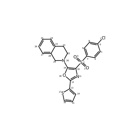 O=S(=O)(c1ccc(Cl)cc1)c1nc(-c2cccs2)oc1N1CCc2ccccc2C1